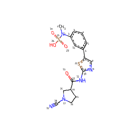 CN(c1cccc(-c2cnc(NC(=O)C3CCN(C#N)C3)s2)c1)S(=O)(=O)O